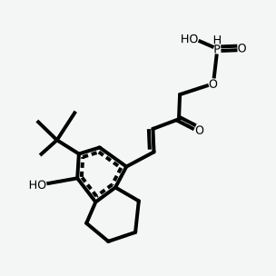 CC(C)(C)c1cc(C=CC(=O)CO[PH](=O)O)c2c(c1O)CCCC2